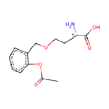 CC(=O)Oc1ccccc1COCC[C@H](N)C(=O)O